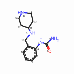 NC(=O)Nc1ccccc1CNC1CCNCC1